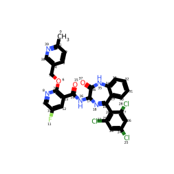 Cc1ccc(COc2ncc(F)cc2C(=O)NC2N=C(c3c(Cl)cc(Cl)cc3Cl)c3ccccc3NC2=O)cn1